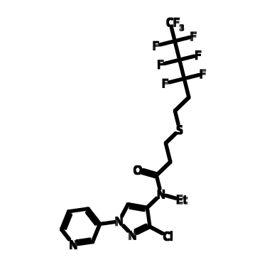 CCN(C(=O)CCSCCC(F)(F)C(F)(F)C(F)(F)C(F)(F)F)c1cn(-c2cccnc2)nc1Cl